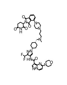 CN(CCCN1CCN(c2cccc3c2C(=O)N(C2CCC(=O)NC2=O)C3=O)CC1)C[C@H]1CC[C@H](n2cc(NC(=O)c3cnn4ccc(N5CCOCC5)nc34)c(C(F)F)n2)CC1